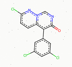 O=c1ncn2nc(Cl)ccc2c1-c1cc(Cl)cc(Cl)c1